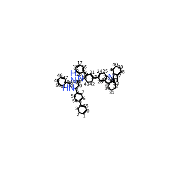 C1=CCCC(C2=CC=C(C3C[C@H](n4c5c(c6ccccc64)C=C(C4=CCC6C(=C4)C4CCCC[C@H]4N6C4C=CCCC4)CC5)NC(C4C=CC=CC4)N3)CC2)=C1